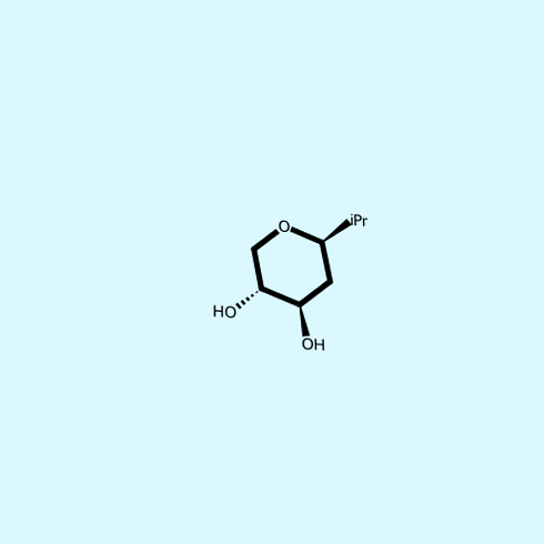 CC(C)[C@H]1C[C@@H](O)[C@H](O)CO1